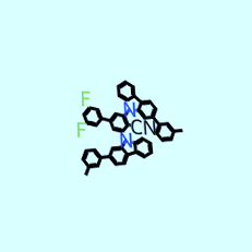 Cc1cccc(-c2ccc3c4ccccc4n(-c4cc(-c5cc(F)cc(F)c5)cc(-n5c6ccccc6c6ccc(-c7cccc(C)c7)cc65)c4C#N)c3c2)c1